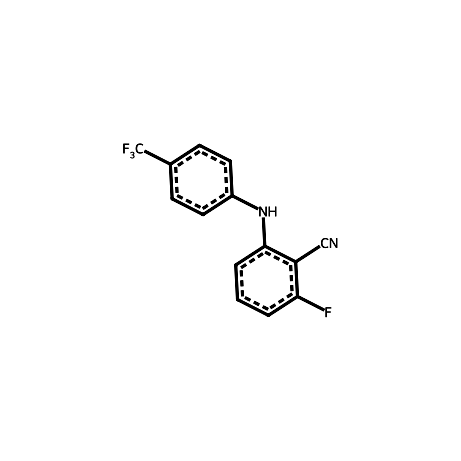 N#Cc1c(F)cccc1Nc1ccc(C(F)(F)F)cc1